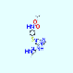 Cc1cc(NC2=CN(Sc3ccc(NC(=O)OCC(C)C)cc3)CC3=NC=C[N+]23)n[nH]1